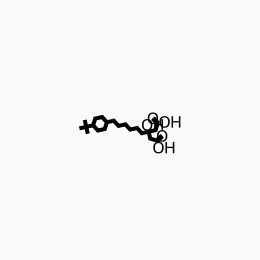 CC(C)(C)C1CCC(CCCCCCC(O)(CC(=O)O)CC(=O)O)CC1